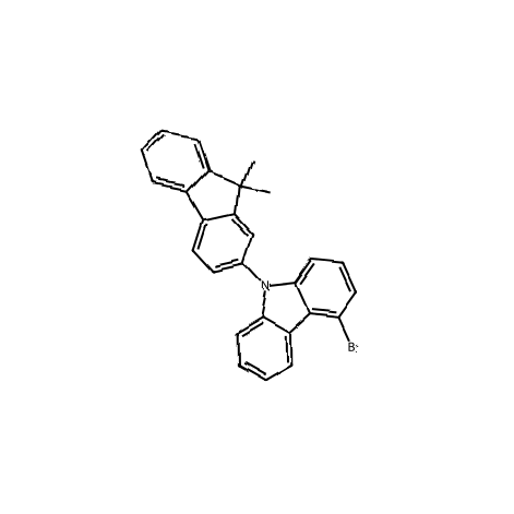 CC1(C)c2ccccc2-c2ccc(-n3c4ccccc4c4c(Br)cccc43)cc21